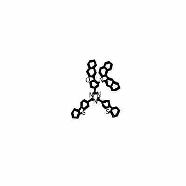 c1ccc2cc3c(cc2c1)oc1cc(-c2nc(-c4ccc5c(c4)sc4ccccc45)nc(-c4ccc5c(c4)sc4ccccc45)n2)cc(-n2c4cc5ccccc5cc4c4c5ccccc5ccc42)c13